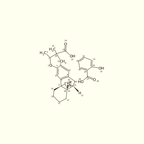 CC(Oc1ccc2c(c1)[C@@]13CCCC[C@H]1[C@@H](C2)NCC3)C(C)(C)C(=O)O.O=C(O)c1ccccc1O